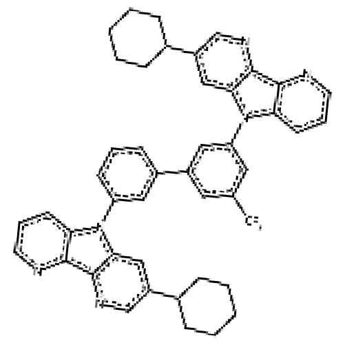 FC(F)(F)c1cc(-c2cccc(-n3c4cccnc4c4ncc(C5CCCCC5)cc43)c2)cc(-n2c3cccnc3c3ncc(C4CCCCC4)cc32)c1